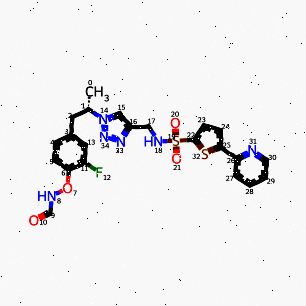 C[C@@H](Cc1ccc(ONC=O)c(F)c1)n1cc(CNS(=O)(=O)c2ccc(-c3ccccn3)s2)nn1